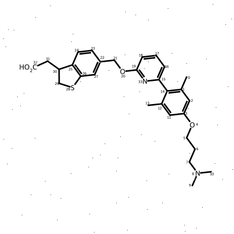 Cc1cc(OCCCN(C)C)cc(C)c1-c1cccc(OCc2ccc3c(c2)SCC3CC(=O)O)n1